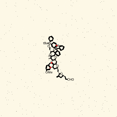 C=C1C(C[C@@H]2OC3CC(O[Si](c4ccccc4)(c4ccccc4)C(C)(C)C)[C@@H](CCO[Si](c4ccccc4)(c4ccccc4)C(C)(C)C)O[C@H]3[C@H](C)[C@H]2OCc2ccc(OC)cc2)O[C@@H](CC[C@@H]2O[C@@H](CCC=O)CC2=C)C[C@H]1C